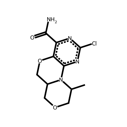 CC1COCC2COc3c(C(N)=O)nc(Cl)nc3N12